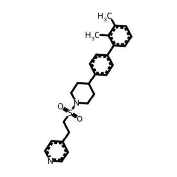 Cc1cccc(-c2ccc(C3CCN(S(=O)(=O)CCc4ccncc4)CC3)cc2)c1C